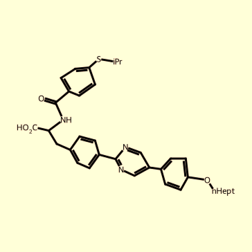 CCCCCCCOc1ccc(-c2cnc(-c3ccc(CC(NC(=O)c4ccc(SC(C)C)cc4)C(=O)O)cc3)nc2)cc1